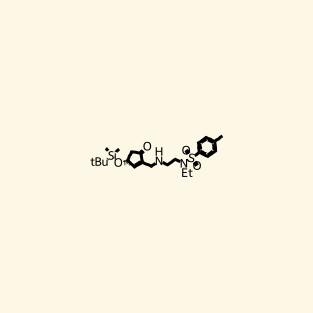 CCN(CCNCC1=C[C@H](O[Si](C)(C)C(C)(C)C)CC1=O)S(=O)(=O)c1ccc(C)cc1